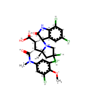 COc1c(Cl)cc(N(C)C(=O)[C@@H]2C(C(=O)O)[C@@]3(C(=O)Nc4c(Cl)cc(Cl)cc43)N3CC(F)(F)C[C@H]23)cc1Cl